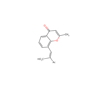 CC(=O)C(=Cc1cccc2c(=O)cc(C)oc12)C(=O)O